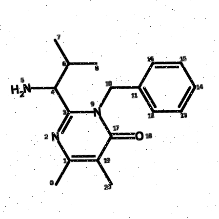 Cc1nc(C(N)C(C)C)n(Cc2ccccc2)c(=O)c1C